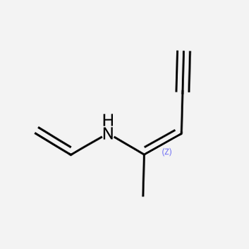 C#C/C=C(/C)NC=C